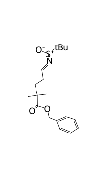 CC(C)(CC/C=N/[S+]([O-])C(C)(C)C)C(=O)OCc1ccccc1